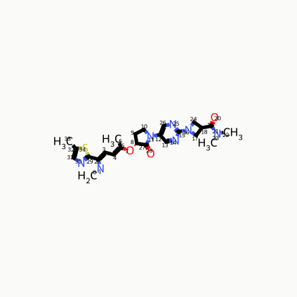 C=N/C(=C\C=C(/C)O[C@@H]1CCN(c2cnc(N3CC(C(=O)N(C)C)C3)nc2)C1=O)c1ncc(C)s1